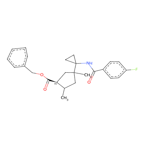 CC1CC(C)(C2(NC(=O)c3ccc(F)cc3)CC2)C[C@@H]1C(=O)OCc1ccccc1